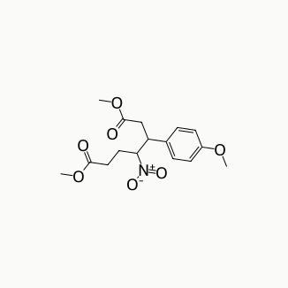 COC(=O)CCC(C(CC(=O)OC)c1ccc(OC)cc1)[N+](=O)[O-]